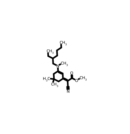 CCCCC(CC)CN(C)C1=C/C(=C(/C#N)C(=O)OC)CC(C)(C)C1